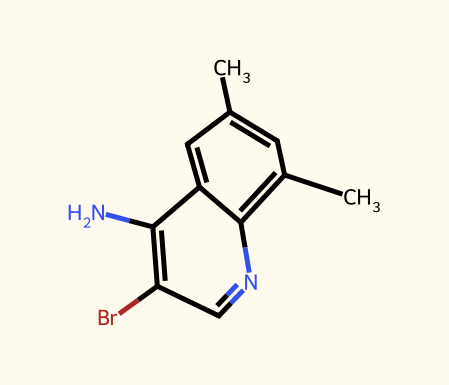 Cc1cc(C)c2ncc(Br)c(N)c2c1